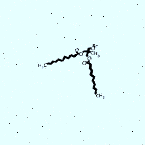 CCCCCCCCCCCC(=O)OCC(C)(COBr)COC(=O)CCCCCCCCCCC